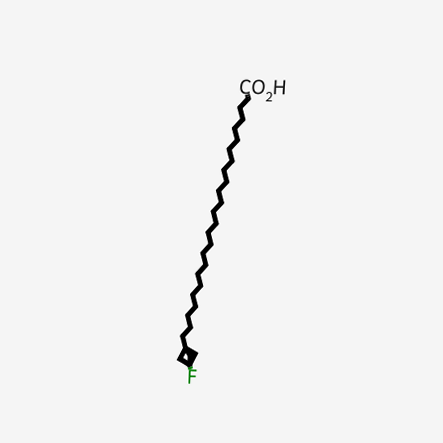 O=C(O)CCCCCCCCCCCCCCCCCCCCCCCCC12CC(F)(C1)C2